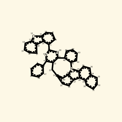 c1ccc(-c2nc(-c3cccc4oc5ccccc5c34)nc3c2Cc2ccc4c5c6ccccc6ccc5n(c4c2)-c2ccccc2-3)cc1